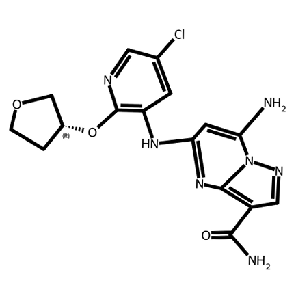 NC(=O)c1cnn2c(N)cc(Nc3cc(Cl)cnc3O[C@@H]3CCOC3)nc12